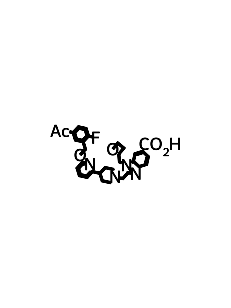 CC(=O)c1ccc(F)c(COc2cccc(C3CCN(CC4=NC5C=CC(C(=O)O)=CC5N4CC4CCO4)CC3)n2)c1